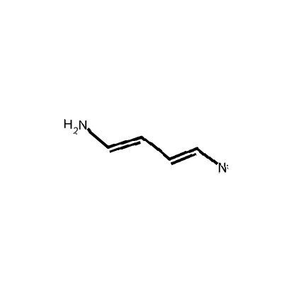 [N]C=CC=CN